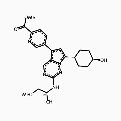 COC[C@H](C)Nc1ncc2c(-c3ccc(C(=O)OC)nc3)cc([C@H]3CC[C@H](O)CC3)n2n1